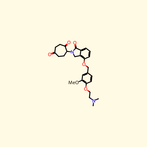 COc1cc(COc2cccc3c2CN(C2CCC(=O)CCC2=O)C3=O)ccc1OCCN(C)C